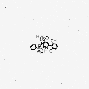 Cc1cccc(C)c1-c1cc(S(C)(=O)=O)nc(NS(=O)(=O)c2ccccc2)n1